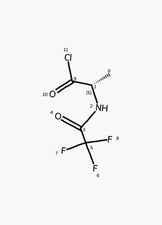 C[C@H](NC(=O)C(F)(F)F)C(=O)Cl